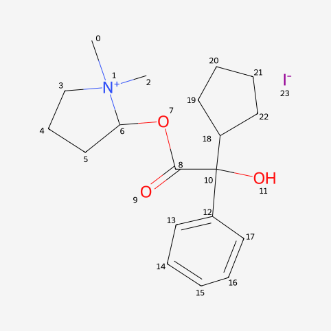 C[N+]1(C)CCCC1OC(=O)C(O)(c1ccccc1)C1CCCC1.[I-]